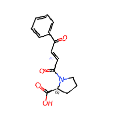 O=C(/C=C/C(=O)N1CCC[C@H]1C(=O)O)c1ccccc1